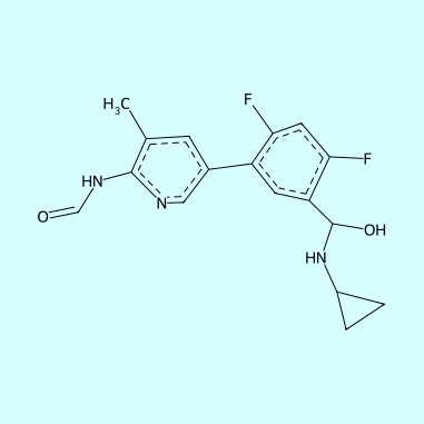 Cc1cc(-c2cc(C(O)NC3CC3)c(F)cc2F)cnc1NC=O